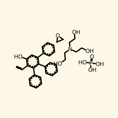 C1CO1.C=Cc1c(O)cc(-c2ccccc2)c(-c2ccccc2)c1-c1ccccc1.O=P(O)(O)O.OCCN(CCO)CCO